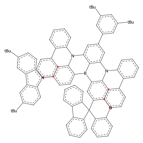 CC(C)(C)c1cc(-c2cc3c4c(c2)N(c2ccccc2-c2ccccc2)c2cc5c(cc2B4c2ccc(-n4c6ccc(C(C)(C)C)cc6c6cc(C(C)(C)C)ccc64)cc2N3c2ccccc2-c2ccccc2)C2(c3ccccc3O5)c3ccccc3-c3ccccc32)cc(C(C)(C)C)c1